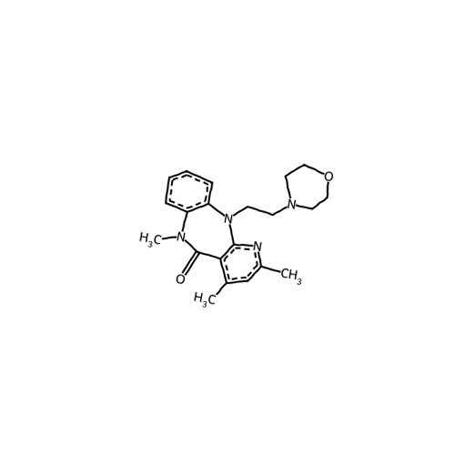 Cc1cc(C)c2c(n1)N(CCN1CCOCC1)c1ccccc1N(C)C2=O